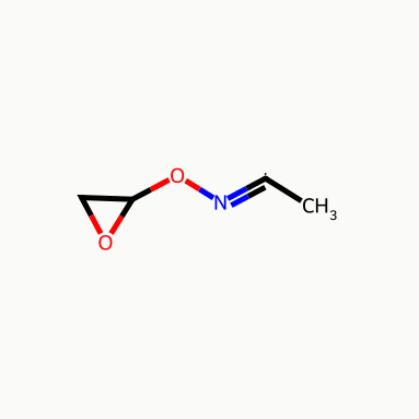 C[C]=NOC1CO1